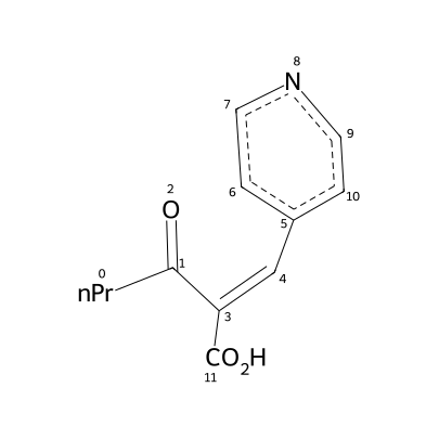 CCCC(=O)C(=Cc1ccncc1)C(=O)O